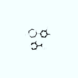 NC(=O)c1ccncc1O[C@@H]1CNCCO[C@H]1c1ccc(Cl)c(F)c1